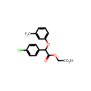 CCOC(=O)COC(=O)C(Oc1cccc(C(F)(F)F)c1)c1ccc(Cl)cc1